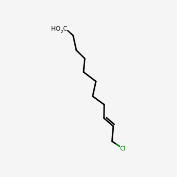 O=C(O)CCCCCCCC=CCCl